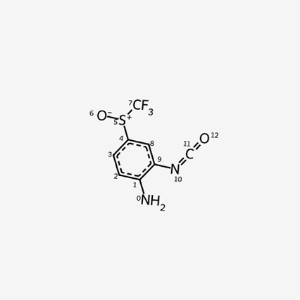 Nc1ccc([S+]([O-])C(F)(F)F)cc1N=C=O